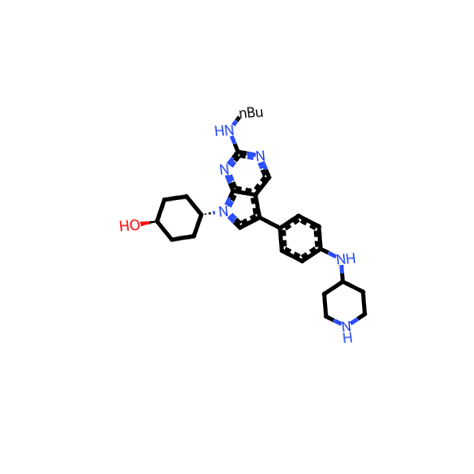 CCCCNc1ncc2c(-c3ccc(NC4CCNCC4)cc3)cn([C@H]3CC[C@H](O)CC3)c2n1